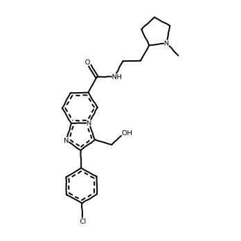 CN1CCCC1CCNC(=O)c1ccc2nc(-c3ccc(Cl)cc3)c(CO)n2c1